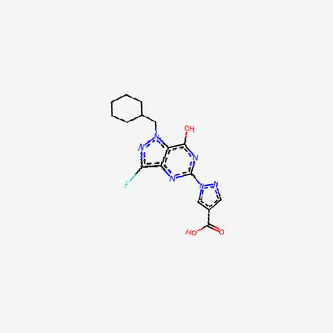 O=C(O)c1cnn(-c2nc(O)c3c(n2)c(F)nn3CC2CCCCC2)c1